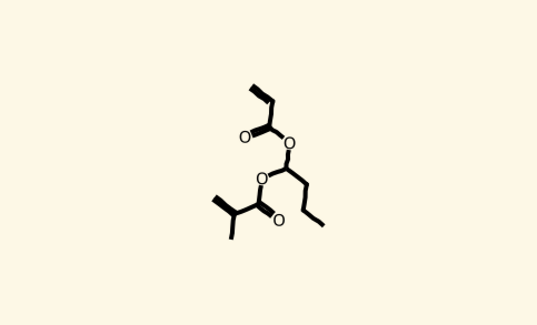 C=CC(=O)OC(CCC)OC(=O)C(=C)C